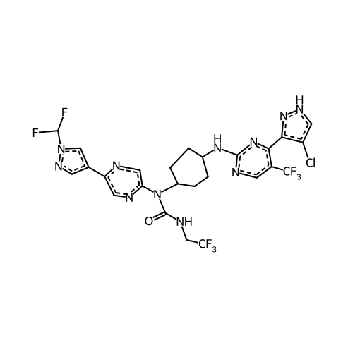 O=C(NCC(F)(F)F)N(c1cnc(-c2cnn(C(F)F)c2)cn1)C1CCC(Nc2ncc(C(F)(F)F)c(-c3n[nH]cc3Cl)n2)CC1